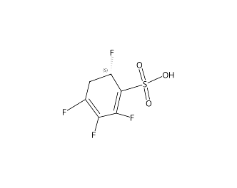 O=S(=O)(O)C1=C(F)C(F)=C(F)C[C@@H]1F